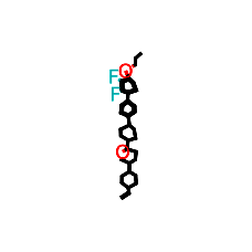 C=CC1CCC(C2CCC(C3CCC(c4ccc(-c5ccc(OCCC)c(F)c5F)cc4)CC3)OC2)CC1